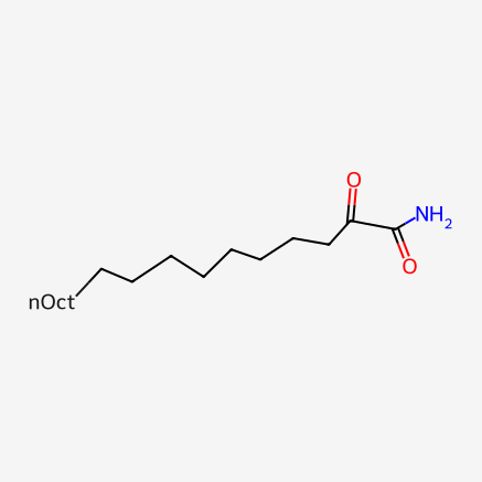 CCCCCCCCCCCCCCCCC(=O)C(N)=O